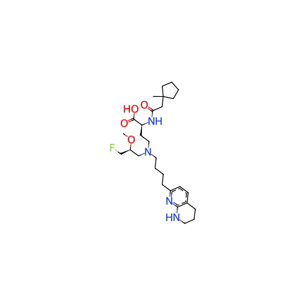 CO[C@H](CF)CN(CCCCc1ccc2c(n1)NCCC2)CC[C@H](NC(=O)CC1(C)CCCC1)C(=O)O